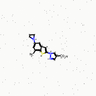 N#Cc1cc(N2CCC2)cc2cc(-n3cc(C(=O)O)cn3)sc12